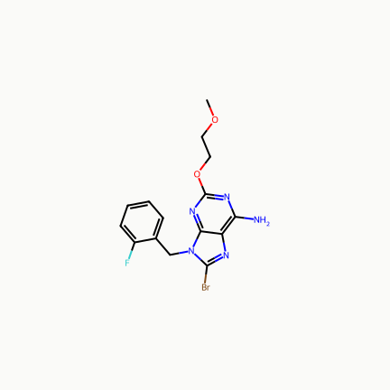 COCCOc1nc(N)c2nc(Br)n(Cc3ccccc3F)c2n1